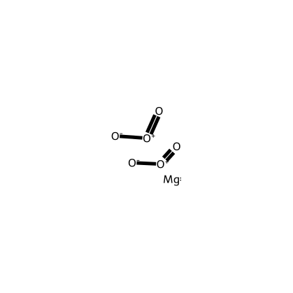 O=[O+][O-].O=[O+][O-].[Mg]